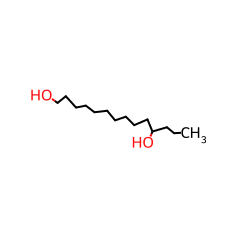 CCCC(O)CCCCCCCCCCO